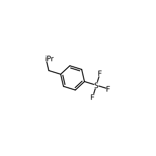 CC(C)Cc1ccc(S(F)(F)F)cc1